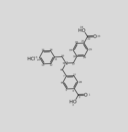 Cl.O=C(O)c1ccc(CN(Cc2ccccc2)Cc2ccc(C(=O)O)cc2)cc1